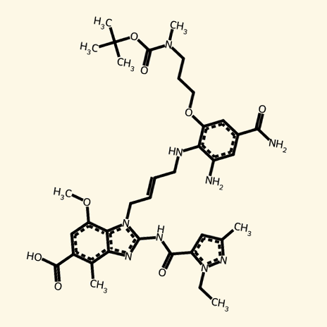 CCn1nc(C)cc1C(=O)Nc1nc2c(C)c(C(=O)O)cc(OC)c2n1CC=CCNc1c(N)cc(C(N)=O)cc1OCCCN(C)C(=O)OC(C)(C)C